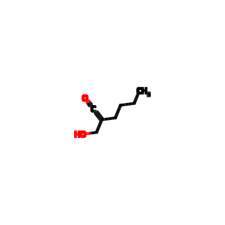 CCCCC(=C=O)CO